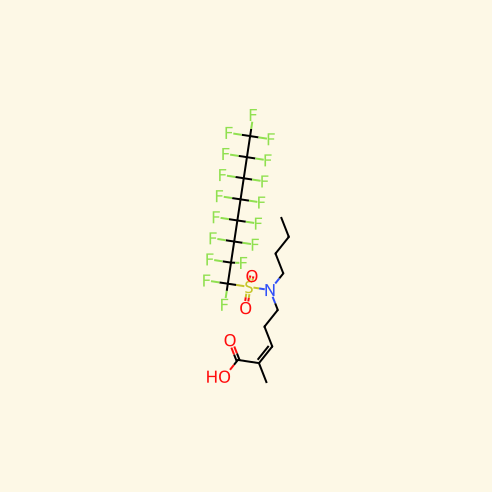 CCCCN(CCC=C(C)C(=O)O)S(=O)(=O)C(F)(F)C(F)(F)C(F)(F)C(F)(F)C(F)(F)C(F)(F)C(F)(F)C(F)(F)F